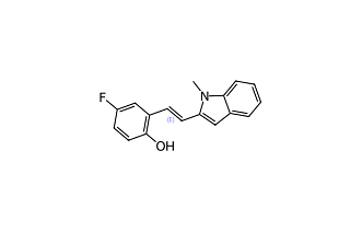 Cn1c(/C=C/c2cc(F)ccc2O)cc2ccccc21